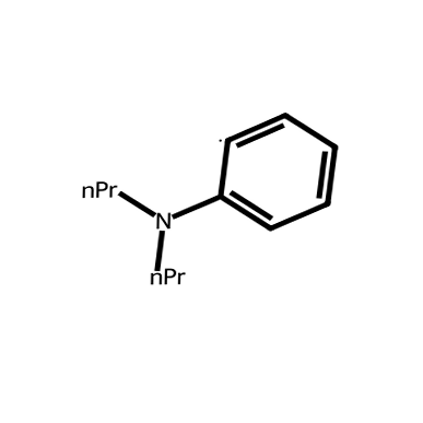 CCCN(CCC)c1[c]cccc1